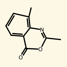 Cc1nc2c(C)cccc2c(=O)o1